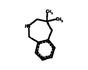 CC1(C)CNCc2ccccc2C1